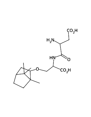 CC1(C)C2CCC1(C)C(OCC(NC(=O)C(N)CC(=O)O)C(=O)O)C2